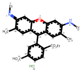 CCN=c1cc2oc3cc(NCC)c(C)cc3c(-c3cc(C(=O)O)ccc3C(=O)OCC)c-2cc1C.Cl